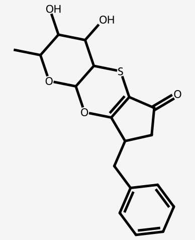 CC1OC2OC3=C(SC2C(O)C1O)C(=O)CC3Cc1ccccc1